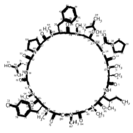 CC[C@H](C)[C@@H]1NC(=O)[C@H](C)N(C)C(=O)C[C@@H](C(=O)N2CCCC2)NC(=O)[C@@H](CC(C)C)N(C)C(=O)[C@H](Cc2ccccc2)N(C)C(=O)C2=[N+](CCC2)C(=O)[C@@H](CB(O)O)NC(=O)CN(C)C(=O)[C@H](Cc2ccc(Cl)cc2)N(C)C(=O)CN(C)C(=O)CN(C)C1=O